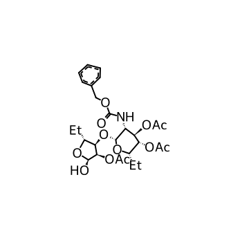 CC[C@@H]1O[C@H](O[C@H]2[C@@H](OC(C)=O)[C@@H](O)O[C@@H]2CC)[C@H](NC(=O)OCc2ccccc2)[C@@H](OC(C)=O)[C@@H]1OC(C)=O